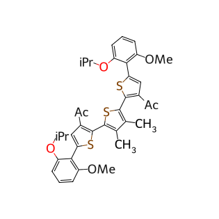 COc1cccc(OC(C)C)c1-c1cc(C(C)=O)c(-c2sc(-c3sc(-c4c(OC)cccc4OC(C)C)cc3C(C)=O)c(C)c2C)s1